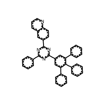 c1ccc(-c2nc(-c3cc(-c4ccccc4)c(-c4ccccc4)c(-c4ccccc4)c3)nc(-c3ccc4ncccc4c3)n2)cc1